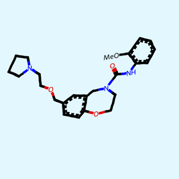 COc1ccccc1NC(=O)N1CCOc2ccc(COCCN3CCCC3)cc2C1